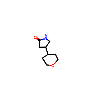 O=C1CC(C2CCOCC2)CN1